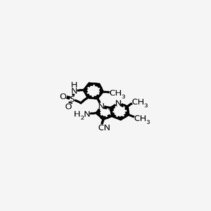 Cc1cc2c(C#N)c(N)n(-c3c(C)ccc4c3CS(=O)(=O)N4)c2nc1C